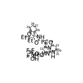 CCC1(CC)CC(NC(=O)[C@@H]2C[C@H]2[C@@H](CCOC)N2C(=N)NC(C)(C)CC2=O)c2ccccc2O1.O=C(O)C(F)(F)F